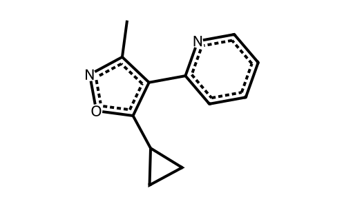 Cc1noc(C2CC2)c1-c1ccccn1